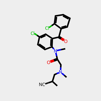 CC(C#N)CN(C)CC(=O)N(C)c1ccc(Cl)cc1C(=O)c1ccccc1Cl